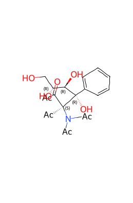 CC(=O)C(=O)[C@](C(C)=O)(N(C(C)=O)C(C)=O)[C@](O)(c1ccccc1)[C@H](O)[C@H](O)CO